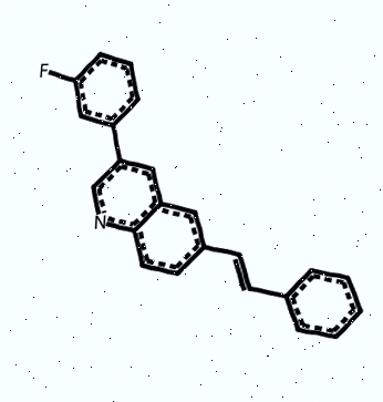 Fc1cccc(-c2cnc3ccc(C=Cc4ccccc4)cc3c2)c1